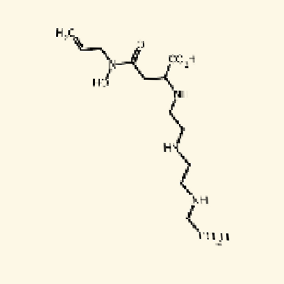 C=CCN(O)C(=O)CC(NCCNCCNCC(=O)O)C(=O)O